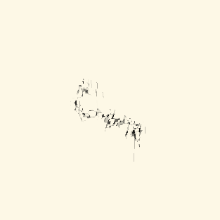 Cn1c(-c2cn(-c3cc4[nH]c(C(=O)N5C[C@H]6CNC[C@@H](C5)O6)cc4cn3)nc2C(F)(F)F)cnc1C(=O)Nc1ccc(C(=O)N2CCN(C(=O)C3CC[N+](CC(=O)O)(CC4CNC4)CC3)CC2)c(Cl)c1